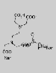 O=C([O-])CN(CCN(CC(=O)[O-])CC(=O)O)CC(=O)[O-].O=S(O)O.[Na+].[Na+].[Na+]